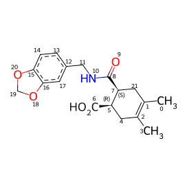 CC1=C(C)C[C@@H](C(=O)O)[C@@H](C(=O)NCc2ccc3c(c2)OCO3)C1